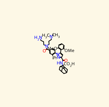 COc1cccc(OC)c1-c1cc(C(=O)NC2(C(=O)O)C3CC4CC(C3)CC2C4)nn1-c1ccc(C(=O)N(CCCN)CCCN(C)C)cc1C(C)C